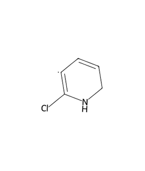 ClC1=[C]C=CCN1